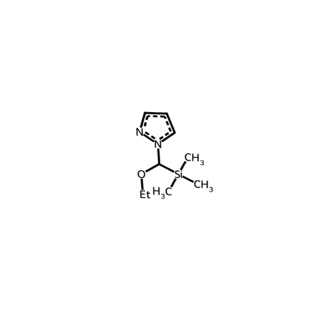 CCOC(n1cccn1)[Si](C)(C)C